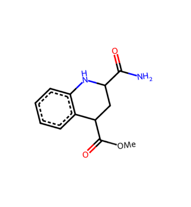 COC(=O)C1CC(C(N)=O)Nc2ccccc21